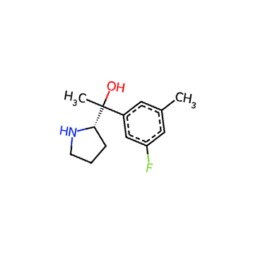 Cc1cc(F)cc(C(C)(O)[C@@H]2CCCN2)c1